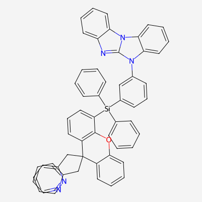 c1ccc([Si](c2ccccc2)(c2cccc(-n3c4ccccc4n4c5ccccc5nc34)c2)c2cccc3c2Oc2ccccc2C3(Cc2ccccn2)Cc2ccccn2)cc1